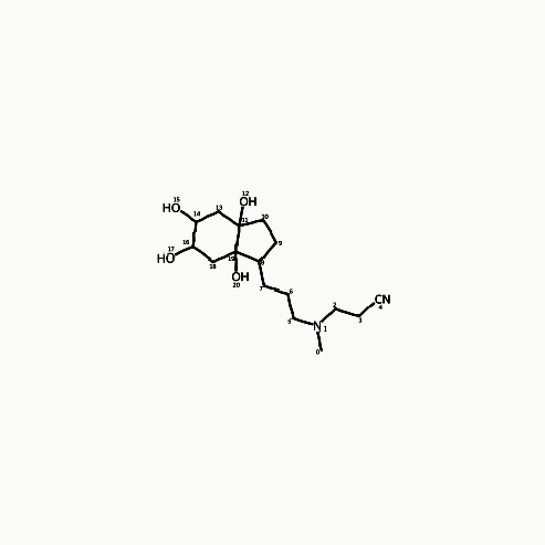 CN(CCC#N)CCCC1CCC2(O)CC(O)C(O)CC12O